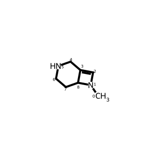 CN1C=C2CNCCC21